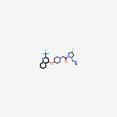 C=NC[C@@H]1C[C@H](F)CN1C(=O)CN1CCC(Oc2cc(C(F)(F)F)nc3ccccc23)CC1